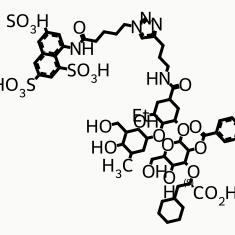 CCC1CC(C(=O)NCCCc2cn(CCCCC(=O)Nc3cc(S(=O)(=O)O)cc4cc(S(=O)(=O)O)cc(S(=O)(=O)O)c34)nn2)CC(OC2OC(CO)C(O)C(O[C@@H](CC3CCCCC3)C(=O)O)C2OC(=O)c2ccccc2)C1OC1CC(C)C(O)C(CO)C1O